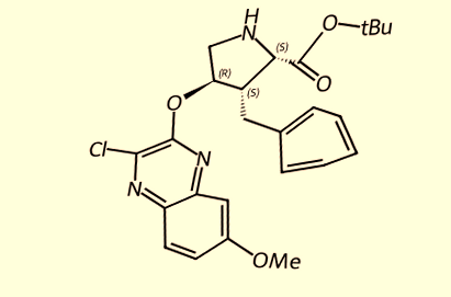 COc1ccc2nc(Cl)c(O[C@H]3CN[C@H](C(=O)OC(C)(C)C)[C@@H]3Cc3ccccc3)nc2c1